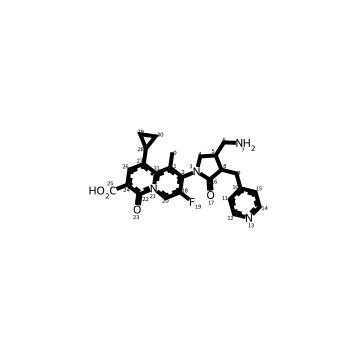 Cc1c(N2CC(CN)C(Cc3ccncc3)C2=O)c(F)cn2c(=O)c(C(=O)O)cc(C3CC3)c12